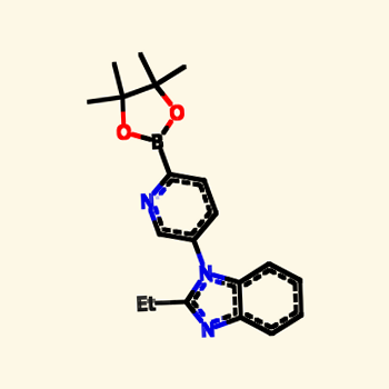 CCc1nc2ccccc2n1-c1ccc(B2OC(C)(C)C(C)(C)O2)nc1